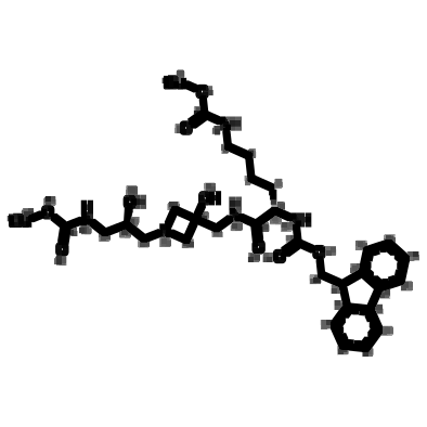 CC(C)(C)OC(=O)NCCCC[C@H](NC(=O)OCC1c2ccccc2-c2ccccc21)C(=O)NCC1(O)CN(C[C@H](O)CNC(=O)OC(C)(C)C)C1